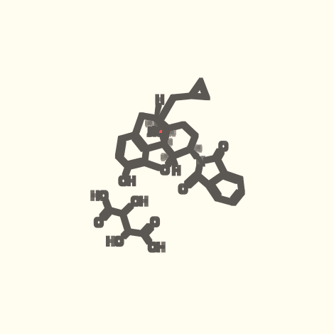 O=C(O)C(O)C(O)C(=O)O.O=C1c2ccccc2C(=O)N1[C@@H]1CC[C@@]2(O)[C@H]3Cc4ccc(O)c5c4[C@@]2(CCN3CC2CC2)[C@H]1O5